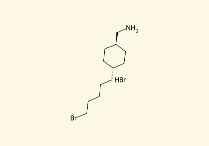 Br.NC[C@H]1CC[C@H](CCCCCBr)CC1